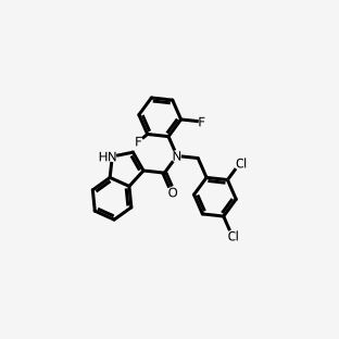 O=C(c1c[nH]c2ccccc12)N(Cc1ccc(Cl)cc1Cl)c1c(F)cccc1F